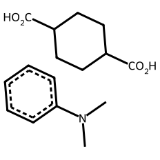 CN(C)c1ccccc1.O=C(O)C1CCC(C(=O)O)CC1